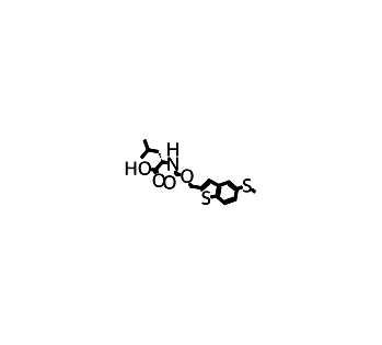 CSc1ccc2sc(COC(=O)N[C@@H](CC(C)C)C(=O)O)cc2c1